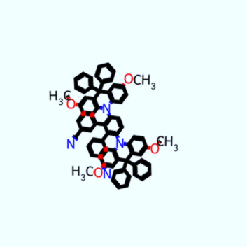 COc1ccc2c(c1)C(c1ccccc1)(c1ccccc1)c1cc(OC)ccc1N2c1ccc(N2c3ccc(OC)cc3C(c3ccccc3)(c3ccccc3)c3cc(OC)ccc32)c(-c2cccc(C#N)c2)c1-c1cccc(C#N)c1